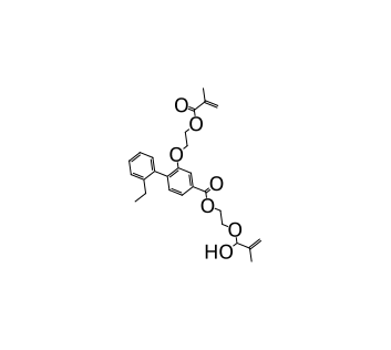 C=C(C)C(=O)OCCOc1cc(C(=O)OCCOC(O)C(=C)C)ccc1-c1ccccc1CC